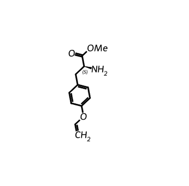 C=COc1ccc(C[C@H](N)C(=O)OC)cc1